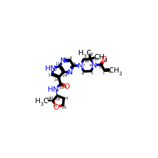 C=CC(=O)N1CCN(c2cnc3[nH]cc(C(=O)N[C@@H]4CCO[C@H]4C)c3n2)CC1(C)C